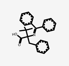 CC(C)(C)C(Cc1ccccc1)(N=C(c1ccccc1)c1ccccc1)C(=O)O